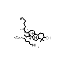 CC(C)CCC[C@@H](C)[C@H]1CC[C@H]2[C@@H]3CCC4C(C)(C)C(O)CC[C@]4(C)[C@H]3CC[C@]12C.CCCCCCCCCCCCCCN